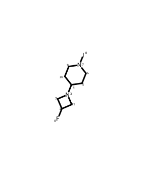 FC1CN(C2CCN(I)CC2)C1